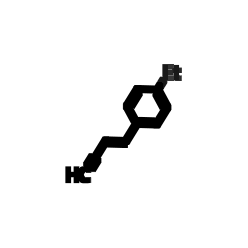 C#CC=Cc1ccc(CC)cc1